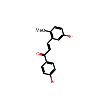 COc1ccc(Br)cc1/C=C/C(=O)c1ccc(Br)cc1